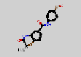 C[C@H]1Sc2ccc(C(=O)Nc3ccc([S+]=O)cc3)cc2NC1=O